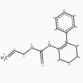 C=CCOC(=O)OC1=C(c2ccccc2)CCCC1